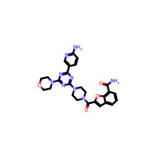 NC(=O)c1cccc2cc(C(=O)N3CCN(c4nc(-c5ccc(N)nc5)nc(N5CCOCC5)n4)CC3)oc12